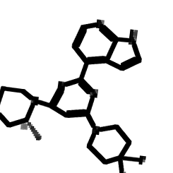 C[C@@H]1COCCN1c1cc(N2CCC(F)(F)CC2)nc(-c2ccnc3[nH]ccc23)n1